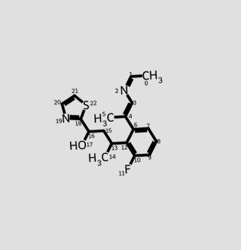 C/C=N\C=C(/C)c1cccc(F)c1C(C)CC(O)c1nccs1